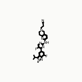 CC(C)c1c2cc(-c3nc(Nc4ccc5c(n4)CCN(CCC#N)C5)ncc3F)cc(F)c2nn1C